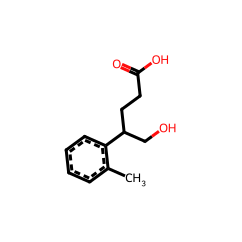 Cc1ccccc1C(CO)CCC(=O)O